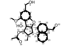 COc1cc(CO)cc2c1[C@]1(O)[C@H](OC(C)=O)[C@H](C)[C@@H](c3ccccc3)[C@]1(c1ccc(C=O)cc1)O2